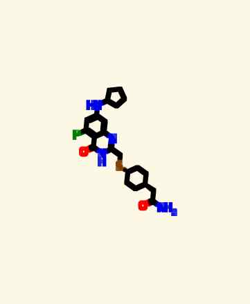 NC(=O)C[C@H]1CC[C@H](SCc2nc3cc(NC4CCCC4)cc(F)c3c(=O)[nH]2)CC1